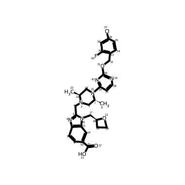 C[C@@H]1CN(Cc2nc3ccc(C(=O)O)cc3n2C[C@@H]2CCO2)[C@@H](C)CN1c1ccnc(OCc2ccc(Cl)cc2F)n1